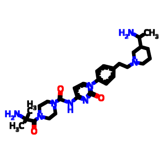 CC(N)C1CCCN(CCc2ccc(-n3ccc(NC(=O)N4CCN(C(=O)C(C)(C)N)CC4)nc3=O)cc2)C1